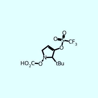 CC(C)(C)C1C(OS(=O)(=O)C(F)(F)F)=CCN1OC(=O)O